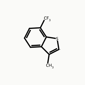 Cc1[c]sc2c(C(F)(F)F)cccc12